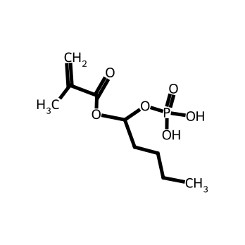 C=C(C)C(=O)OC(CCCC)OP(=O)(O)O